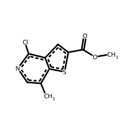 COC(=O)c1cc2c(Cl)ncc(C)c2s1